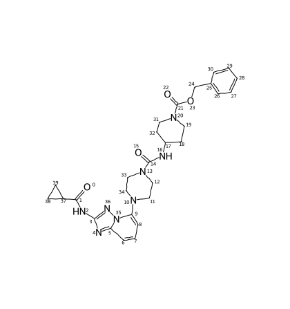 O=C(Nc1nc2cccc(N3CCN(C(=O)NC4CCN(C(=O)OCc5ccccc5)CC4)CC3)n2n1)C1CC1